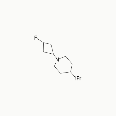 CC(C)C1CCN(C2CC(F)C2)CC1